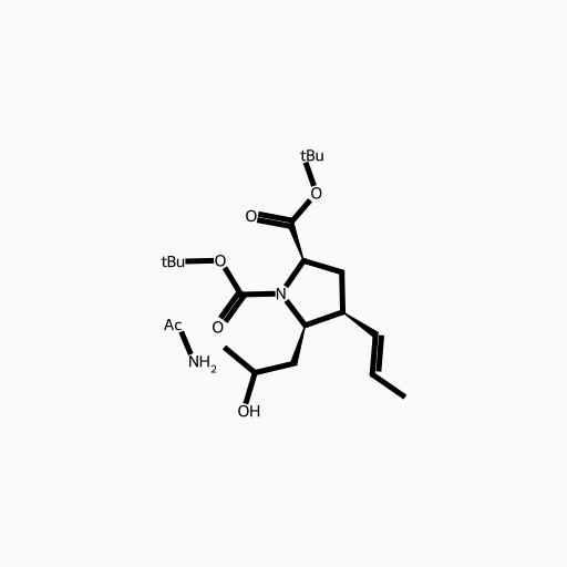 CC(N)=O.CC=C[C@@H]1C[C@H](C(=O)OC(C)(C)C)N(C(=O)OC(C)(C)C)[C@@H]1CC(C)O